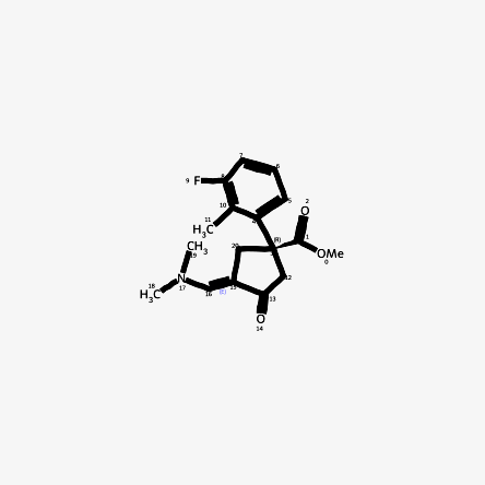 COC(=O)[C@@]1(c2cccc(F)c2C)CC(=O)/C(=C/N(C)C)C1